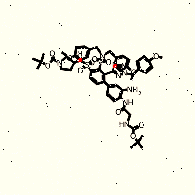 COc1ccc(CN(Cc2ccc(OC)cc2)S(=O)(=O)c2c(S(=O)(=O)NC3CCN(C(=O)OC(C)(C)C)C3)ccc(-c3ccc(NC(=O)CNC(=O)OC(C)(C)C)c(N)c3)c2-c2nnn(Cc3ccc(OC)cc3)n2)cc1